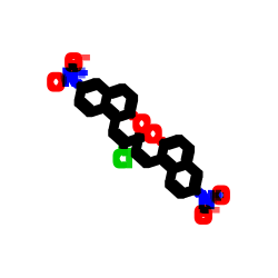 O=[N+]([O-])c1ccc2c3c(ccc2c1)OC1(C=C3)Oc2ccc3cc([N+](=O)[O-])ccc3c2C=C1Cl